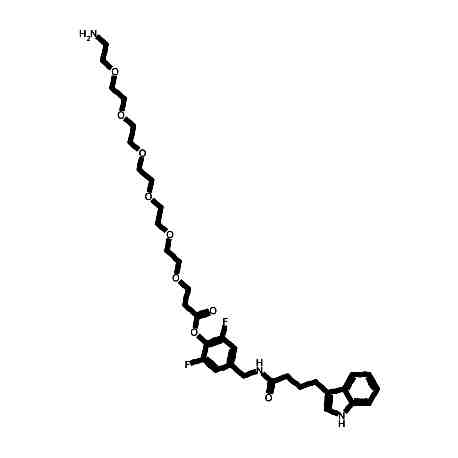 NCCOCCOCCOCCOCCOCCOCCC(=O)Oc1c(F)cc(CNC(=O)CCCc2c[nH]c3ccccc23)cc1F